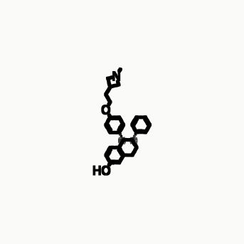 CN1CC(CCOc2ccc([C@H]3c4ccc(O)cc4CC[C@H]3c3ccccc3)cc2)C1